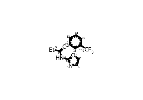 CCC(=O)Nc1ncco1.FC(F)(F)c1ccccc1